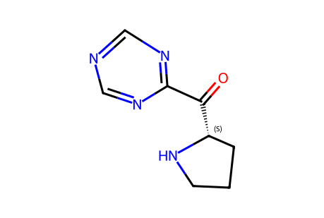 O=C(c1ncncn1)[C@@H]1CCCN1